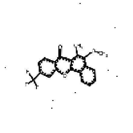 COc1c(C)c2c(=O)c3ccc(C(F)(F)F)cc3oc2c2ccccc12